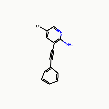 CCc1cnc(N)c(C#Cc2ccccc2)c1